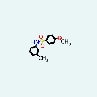 COc1ccc(S(=O)(=O)Nc2cccc(C)c2)cc1